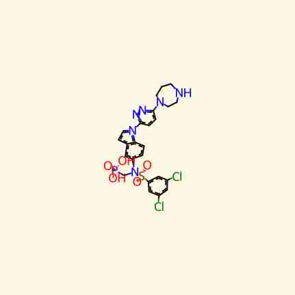 O=P(O)(O)CN(c1ccc2c(ccn2-c2ccc(N3CCCNCC3)nn2)c1)S(=O)(=O)c1cc(Cl)cc(Cl)c1